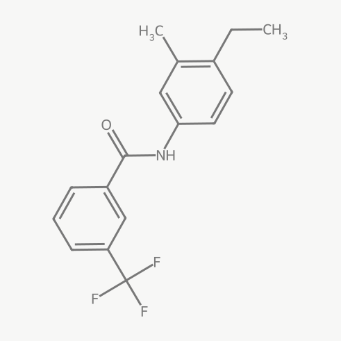 CCc1ccc(NC(=O)c2cccc(C(F)(F)F)c2)cc1C